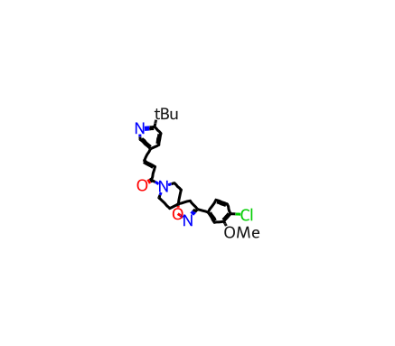 COc1cc(C2=NOC3(CCN(C(=O)C=Cc4ccc(C(C)(C)C)nc4)CC3)C2)ccc1Cl